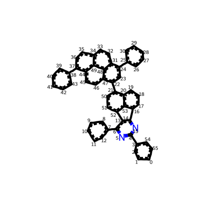 c1ccc(-c2nc(-c3ccccc3)c3c(n2)-c2cccc4c(-c5cc(-c6ccccc6)c6ccc7ccc(-c8ccccc8)c8ccc5c6c78)ccc-3c24)cc1